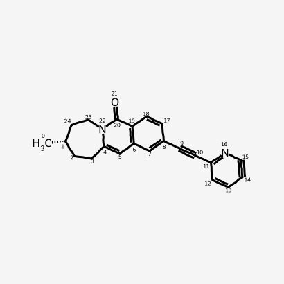 C[C@H]1CCc2cc3cc(C#Cc4ccc#cn4)ccc3c(=O)n2CC1